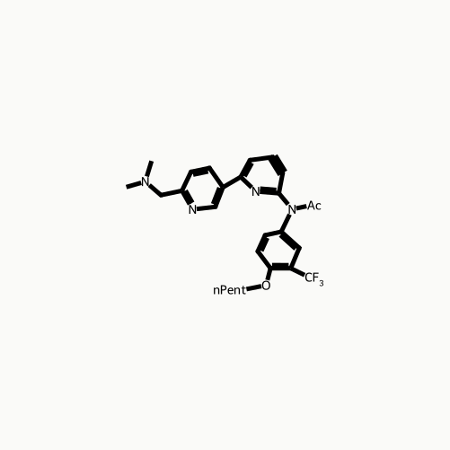 CCCCCOc1ccc(N(C(C)=O)c2c#ccc(-c3ccc(CN(C)C)nc3)n2)cc1C(F)(F)F